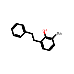 CSc1cccc(CCc2ccccc2)c1O